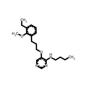 CCCCNc1ncncc1OCCCc1cccc(CC)c1OC